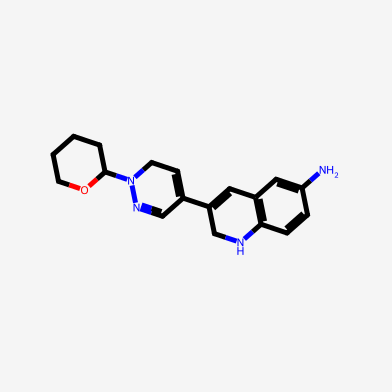 Nc1ccc2c(c1)C=C(C1=CCN(C3CCCCO3)N=C1)CN2